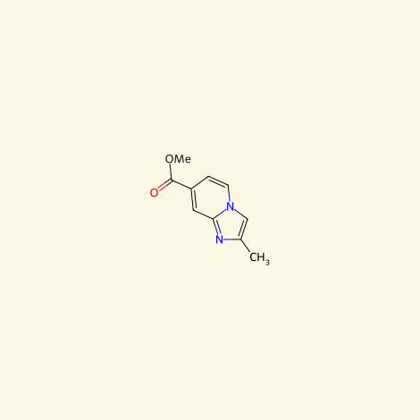 COC(=O)c1ccn2cc(C)nc2c1